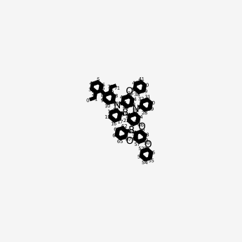 CCc1ccccc1-c1ccc(N2c3ccccc3B3c4cc5c(cc4N(c4ccccc4)c4cc(Oc6ccccc6)cc2c43)Oc2cc(Oc3ccccc3)cc3c2B5c2ccccc2O3)cc1CC